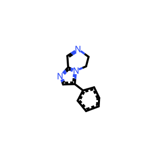 C1=NCCn2c(-c3ccccc3)cnc21